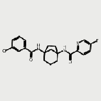 O=C(NC12CCCC(NC(=O)c3ccc(F)cn3)(CC1)C2)c1cccc(Cl)c1